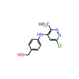 O=C(O)c1nnc(Cl)cc1Nc1ccc(CO)cc1